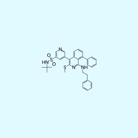 CSc1nc(NCCc2ccccc2)c2c(-c3ccccc3)cccc2c1-c1cncc(S(=O)(=O)NC(C)(C)C)c1